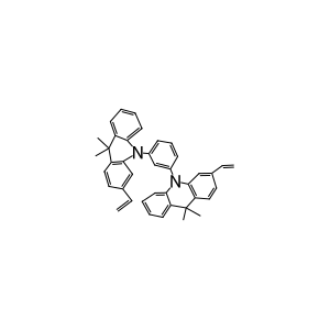 C=Cc1ccc2c(c1)N(c1cccc(N3c4ccccc4C(C)(C)c4ccc(C=C)cc43)c1)c1ccccc1C2(C)C